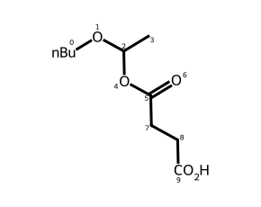 CCCCOC(C)OC(=O)CCC(=O)O